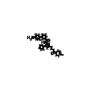 CN1CCN(C(=O)CCCc2cn(-c3ccccc3)c(NC(=O)c3cccc(-c4ccc(N)nc4)c3)n2)CC1